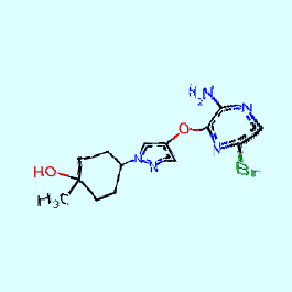 CC1(O)CCC(n2cc(Oc3nc(Br)cnc3N)cn2)CC1